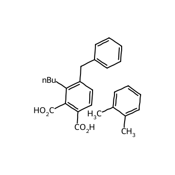 CCCCc1c(Cc2ccccc2)ccc(C(=O)O)c1C(=O)O.Cc1ccccc1C